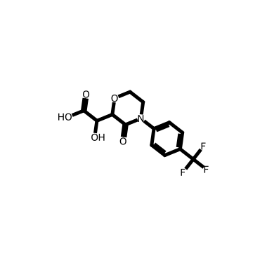 O=C(O)C(O)C1OCCN(c2ccc(C(F)(F)F)cc2)C1=O